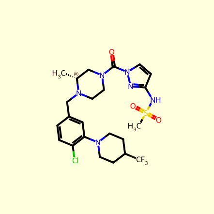 C[C@@H]1CN(C(=O)n2ccc(NS(C)(=O)=O)n2)CCN1Cc1ccc(Cl)c(N2CCC(C(F)(F)F)CC2)c1